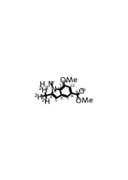 [2H]C([2H])([2H])c1cc2cc(C(=O)OC)cc(OC)c2n1N